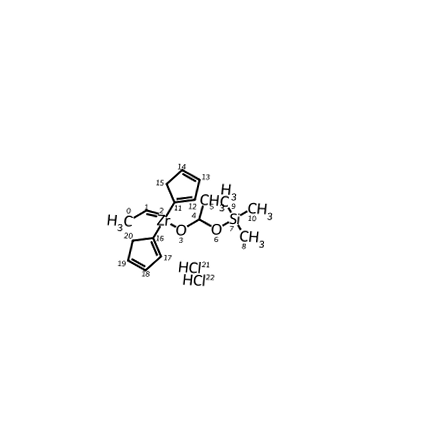 C[CH]=[Zr]([O]C(C)O[Si](C)(C)C)([C]1=CC=CC1)[C]1=CC=CC1.Cl.Cl